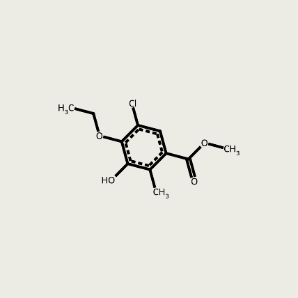 CCOc1c(Cl)cc(C(=O)OC)c(C)c1O